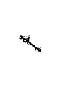 C=CC(=O)OCCCCCCCOc1cc(=S)oc2c(SC3CCCC3)cccc12